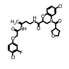 C=C(CCNC(=O)C1CN(C(=O)C2CCOC2)c2cc(Cl)ccc2O1)NC(=O)COc1ccc(Cl)c(F)c1